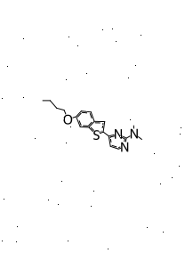 CCCCOc1ccc2cc(-c3ccnc(N(C)C)n3)sc2c1